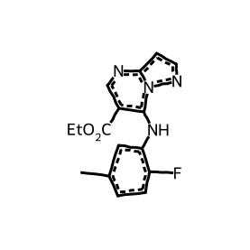 CCOC(=O)c1cnc2ccnn2c1Nc1cc(C)ccc1F